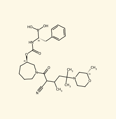 CC(CC(C)(C)N1CCO[C@@H](C)C1)C(C#N)C(=O)N1CCCC[C@@H](OC(=O)N[C@@H](Cc2ccccc2)B(O)O)C1